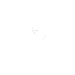 C[C@H](N[S@@+]([O-])C(C)(C)C)C1CCC(NC(=O)OC(C)(C)C)CC1